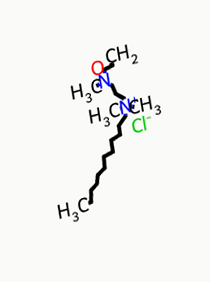 C=CC(=O)N(C)CCC[N+](C)(C)CCCCCCCCCCCC.[Cl-]